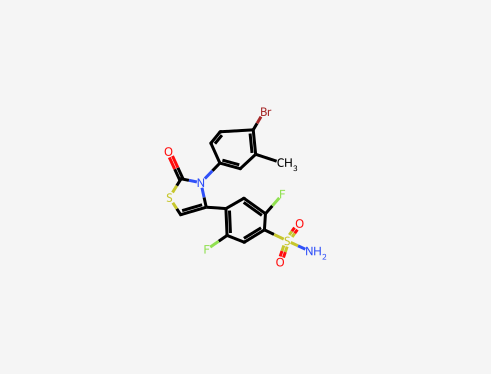 Cc1cc(-n2c(-c3cc(F)c(S(N)(=O)=O)cc3F)csc2=O)ccc1Br